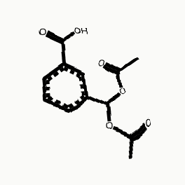 CC(=O)OC(OC(C)=O)c1cccc(C(=O)O)c1